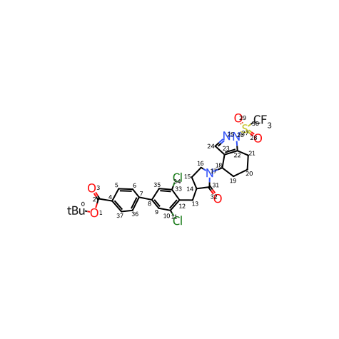 CC(C)(C)OC(=O)c1ccc(-c2cc(Cl)c(CC3CCN(C4CCCc5c4cnn5S(=O)(=O)C(F)(F)F)C3=O)c(Cl)c2)cc1